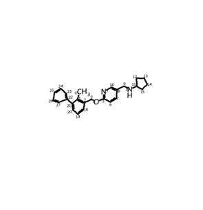 Cc1c(COc2ccc(CNC3CCCC3)cn2)cccc1-c1ccccc1